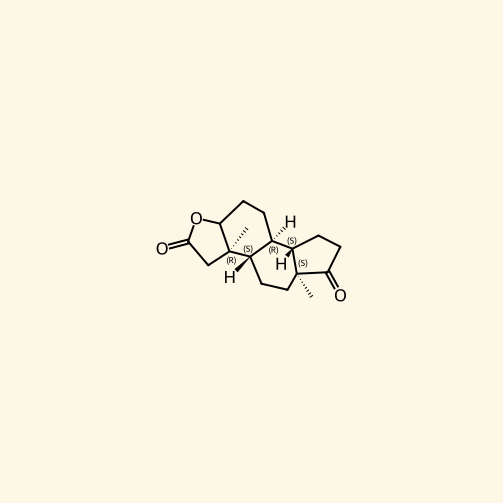 C[C@]12CC(=O)OC1CC[C@@H]1[C@@H]2CC[C@]2(C)C(=O)CC[C@@H]12